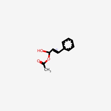 CC(=O)OC(O)/C=C/c1ccccc1